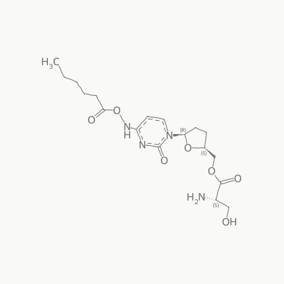 CCCCCC(=O)ONc1ccn([C@H]2CC[C@@H](COC(=O)[C@@H](N)CO)O2)c(=O)n1